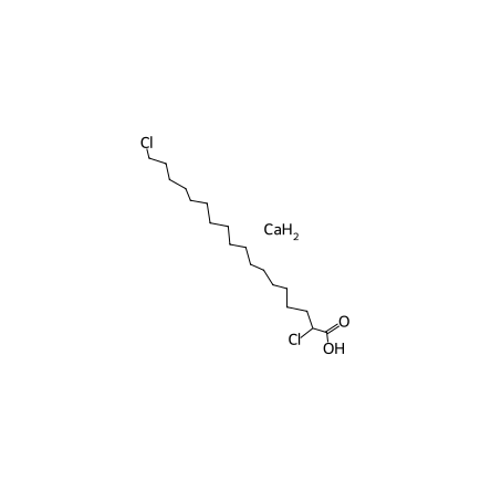 O=C(O)C(Cl)CCCCCCCCCCCCCCCCCl.[CaH2]